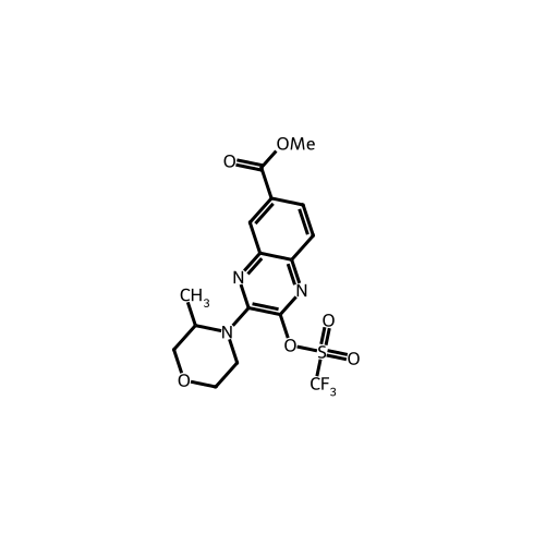 COC(=O)c1ccc2nc(OS(=O)(=O)C(F)(F)F)c(N3CCOCC3C)nc2c1